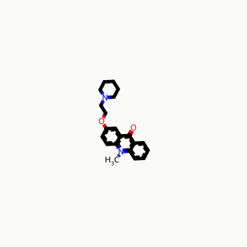 Cn1c2ccccc2c(=O)c2cc(OCCN3CCCCC3)ccc21